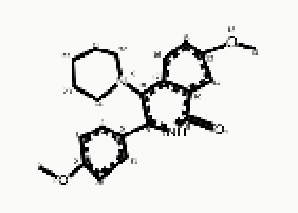 COc1ccc(-c2[nH]c(=O)c3cc(OC)ccc3c2N2CCCCC2)cc1